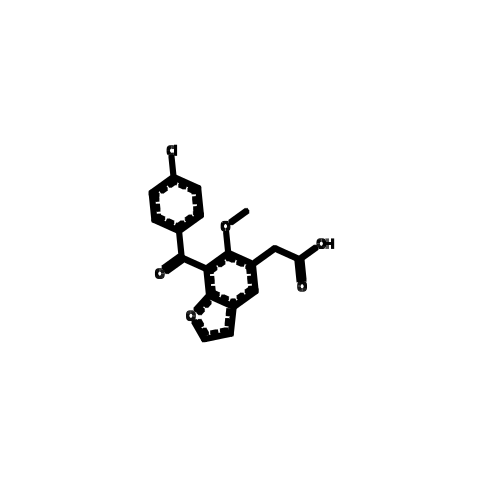 COc1c(CC(=O)O)cc2ccoc2c1C(=O)c1ccc(Cl)cc1